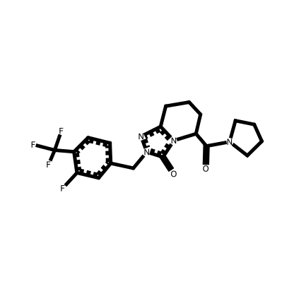 O=C(C1CCCc2nn(Cc3ccc(C(F)(F)F)c(F)c3)c(=O)n21)N1CCCC1